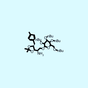 CCCCOCC1OC(OC[C@H](N)[C@@H]2OC(C)(C)O[C@@H]2Cc2ccc(C)cc2)C(OCCCC)C(OCCCC)C1OCCCC